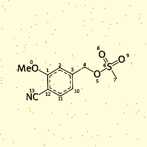 COc1cc(COS(C)(=O)=O)ccc1C#N